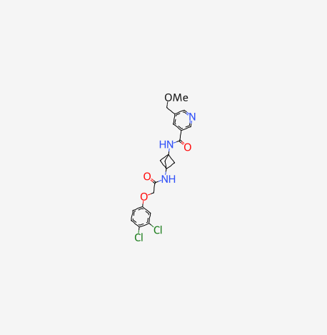 COCc1cncc(C(=O)NC23CC(NC(=O)COc4ccc(Cl)c(Cl)c4)(C2)C3)c1